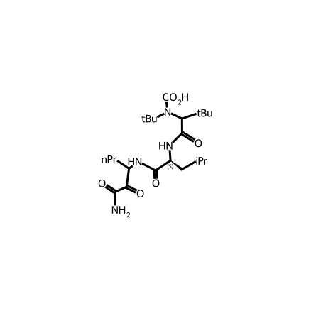 CCCC(NC(=O)[C@H](CC(C)C)NC(=O)C(N(C(=O)O)C(C)(C)C)C(C)(C)C)C(=O)C(N)=O